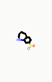 O=[SH](=O)c1ccc2c(c1)NC=CC=C2